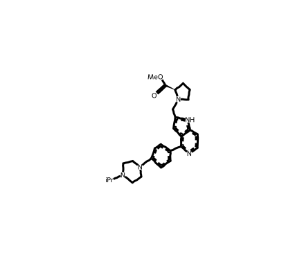 COC(=O)[C@H]1CCCN1Cc1cc2c(-c3ccc(N4CCN(C(C)C)CC4)cc3)nccc2[nH]1